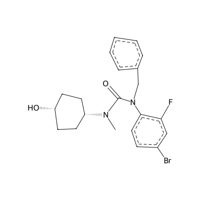 CN(C(=O)N(Cc1ccccc1)c1ccc(Br)cc1F)[C@H]1CC[C@@H](O)CC1